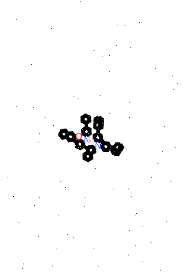 c1ccc(-c2ccc(N3B4c5c(cc6ccccc6c5-c5ccc6c(oc7cc8ccccc8cc76)c53)-n3c5ccc(C67CC8CC(CC(C8)C6)C7)cc5c5cc(C67CC8CC(CC(C8)C6)C7)cc4c53)cc2)cc1